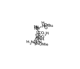 CON=C(C(=O)NC1C(=O)N2C(C(=O)O)=C(CSc3nnnn3CCCNC(=O)OC(C)(C)C)CS[C@@H]12)c1nsc(N)n1